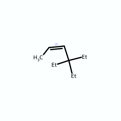 C/C=C\C(CC)(CC)CC